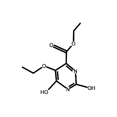 CCOC(=O)c1nc(O)nc(O)c1OCC